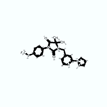 CC1(C)C(=O)N(c2ccc(SC(F)(F)F)cc2)C(=O)N1Cc1ccnc(-n2cccn2)c1